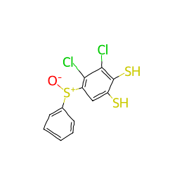 [O-][S+](c1ccccc1)c1cc(S)c(S)c(Cl)c1Cl